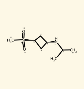 CC(C)N[C@H]1C[C@@H](S(C)(=O)=O)C1